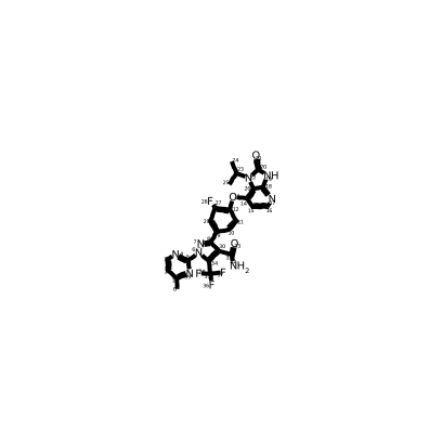 Cc1ccnc(-n2nc(-c3ccc(Oc4ccnc5[nH]c(=O)n(C(C)C)c45)c(F)c3)c(C(N)=O)c2C(F)(F)F)n1